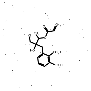 C=CC(=O)OC(C)C(O)(CCl)Cc1cccc(C(=O)O)c1C(=O)O